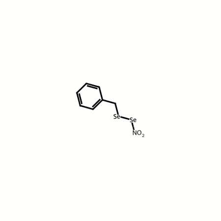 O=[N+]([O-])[Se][Se]Cc1ccccc1